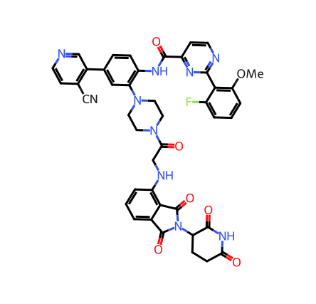 COc1cccc(F)c1-c1nccc(C(=O)Nc2ccc(-c3cnccc3C#N)cc2N2CCN(C(=O)CNc3cccc4c3C(=O)N(C3CCC(=O)NC3=O)C4=O)CC2)n1